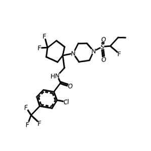 CCC(F)S(=O)(=O)N1CCN(C2(CNC(=O)c3ccc(C(F)(F)F)cc3Cl)CCC(F)(F)CC2)CC1